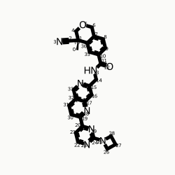 C[C@@]1(C#N)COCc2ccc(C(=O)NCc3cc4nc(-c5ccnc(N6CCC6)n5)ccc4cn3)cc21